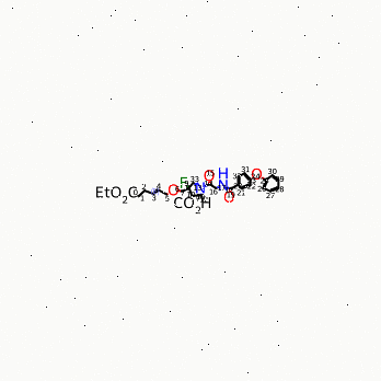 CCOC(=O)CC/C=C/COCC1(F)C[C@H](C(=O)O)N(C(=O)CNC(=O)c2ccc(Oc3ccccc3)cc2)C1